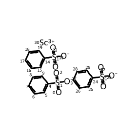 O=S(=O)([O-])c1ccccc1.O=S(=O)([O-])c1ccccc1.O=S(=O)([O-])c1ccccc1.[Sc+3]